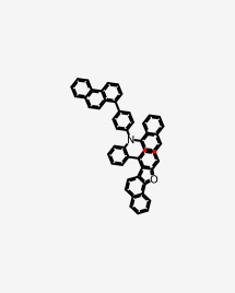 c1ccc(N(c2ccc(-c3cccc4c3ccc3ccccc34)cc2)c2cccc3ccccc23)c(-c2cccc3oc4c5ccccc5ccc4c23)c1